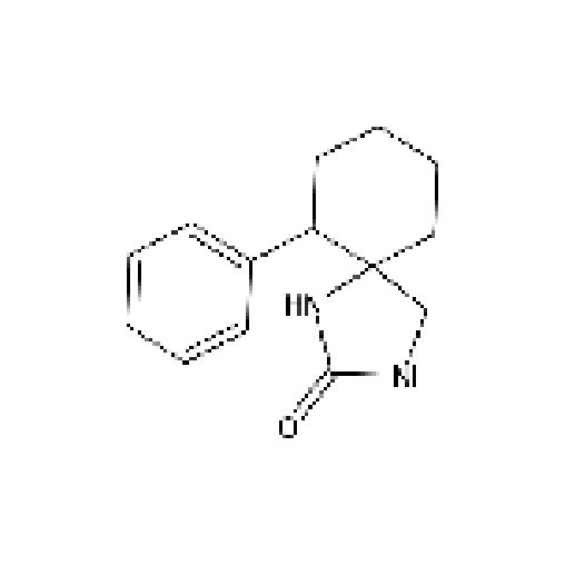 O=C1NCC2(CCCCC2c2ccccc2)N1